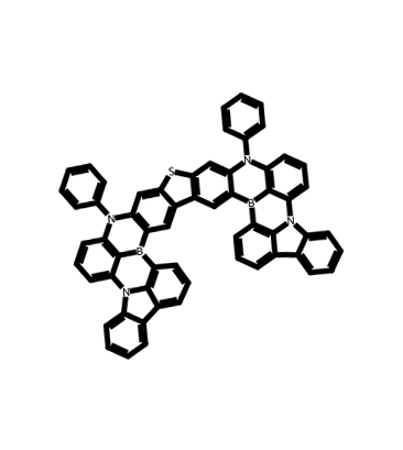 c1ccc(N2c3cc4sc5cc6c(cc5c4cc3B3c4c2cccc4-n2c4ccccc4c4cccc3c42)B2c3c(cccc3-n3c4ccccc4c4cccc2c43)N6c2ccccc2)cc1